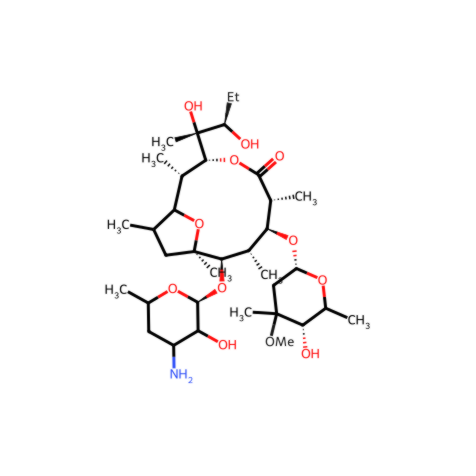 CC[C@@H](O)[C@@](C)(O)[C@@H]1OC(=O)[C@H](C)[C@@H](O[C@H]2CC(C)(OC)[C@@H](O)C(C)O2)[C@H](C)[C@@H](O[C@@H]2OC(C)CC(N)C2O)[C@@]2(C)CC(C)C(O2)[C@@H]1C